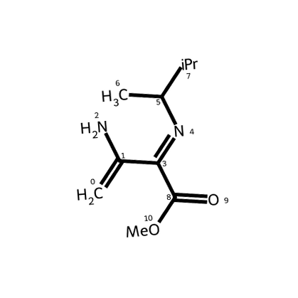 C=C(N)/C(=N\C(C)C(C)C)C(=O)OC